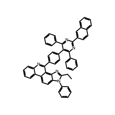 CCc1nc2c3c(-c4ccc(-c5c(-c6ccccc6)nc(-c6ccc7ccccc7c6)nc5-c5ccccc5)cc4)nc4ccccc4c3ccc2n1-c1ccccc1